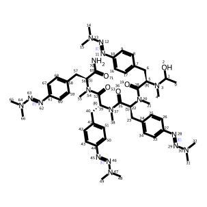 CC(O)N(C)[C@H](Cc1ccc(/N=N/N(C)C)cc1)C(=O)N(C)[C@@H](Cc1ccc(/N=N/N(C)C)cc1)C(=O)N(C)[C@H](Cc1ccc(/N=N/N(C)C)cc1)C(=O)N(C)[C@@H](Cc1ccc(/N=N/N(C)C)cc1)C(N)=O